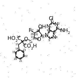 Nc1nc(Cl)nc2c1ncn2[C@@H]1O[C@H](COC(Cc2ccccc2)(C(=O)O)C(=O)O)[C@@H](F)[C@H]1O